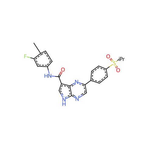 Cc1ccc(NC(=O)c2c[nH]c3ncc(-c4ccc(S(=O)(=O)C(C)C)cc4)nc23)cc1F